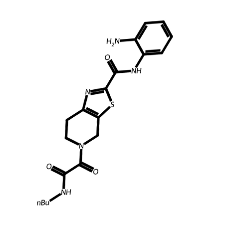 CCCCNC(=O)C(=O)N1CCc2nc(C(=O)Nc3ccccc3N)sc2C1